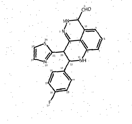 O=CC1NN=C2c3c(cccc31)NC(c1ccc(F)cc1)C2c1nccs1